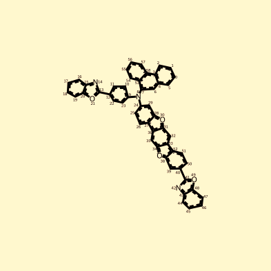 c1ccc2c(c1)cc(N(c1ccc(-c3nc4ccccc4o3)cc1)c1ccc3c(c1)oc1cc4c(cc13)oc1cc(-c3nc5ccccc5o3)ccc14)c1ccccc12